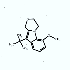 COc1cccc2c(C(C)(C)C)c3n(c12)CCOC3